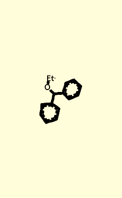 C[CH]OC(c1ccccc1)c1ccccc1